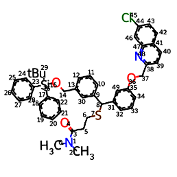 CN(C)C(=O)CCSC(c1cccc(CO[Si](c2ccccc2)(c2ccccc2)C(C)(C)C)c1)c1cccc(OCc2ccc3ccc(Cl)cc3n2)c1